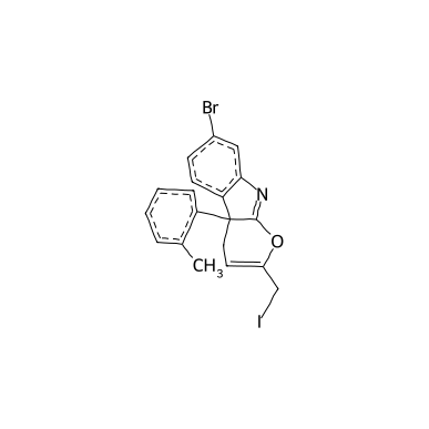 Cc1ccccc1C12CC=C(CI)OC1=Nc1cc(Br)ccc12